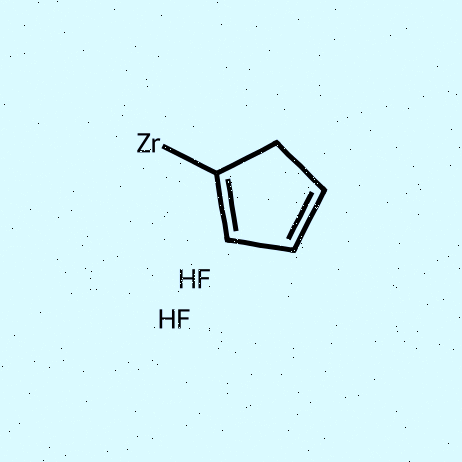 F.F.[Zr][C]1=CC=CC1